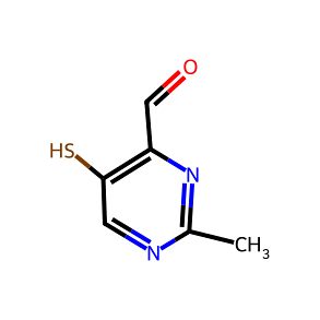 Cc1ncc(S)c(C=O)n1